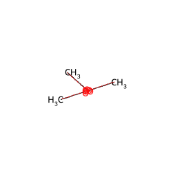 CCCCCCCCCCCCCCCCCCCCCCCCCCCCCCCC(=O)OCC(COC(=O)CCCCCCCCCCCCCCCCCCCCCCCCCCCCCCC)OC(=O)CCCCCCCCCCCCCCCCCCCCCCCCCCCCCCC